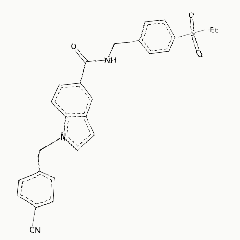 CCS(=O)(=O)c1ccc(CNC(=O)c2ccc3c(ccn3Cc3ccc(C#N)cc3)c2)cc1